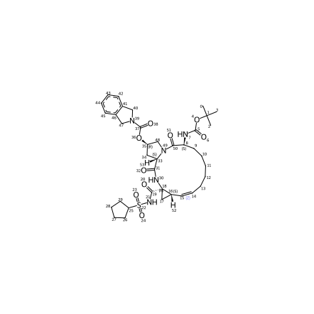 CC(C)(C)OC(=O)N[C@H]1CCCCC/C=C\[C@@H]2C[C@@]2(C(=O)NS(=O)(=O)C2CCCC2)NC(=O)[C@@H]2C[C@@H](OC(=O)N3Cc4ccccc4C3)CN2C1=O